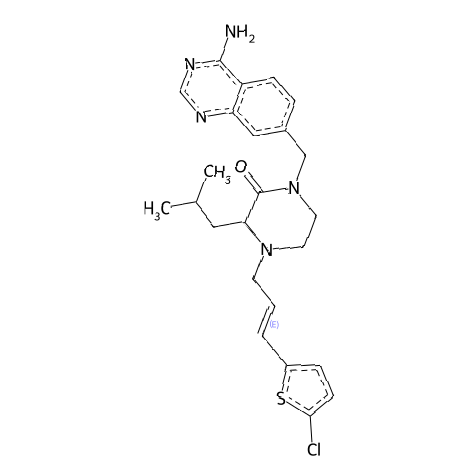 CC(C)CC1C(=O)N(Cc2ccc3c(N)ncnc3c2)CCN1C/C=C/c1ccc(Cl)s1